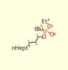 CCCCCCCCCCOP(=O)(OCC)C(C)(C)C